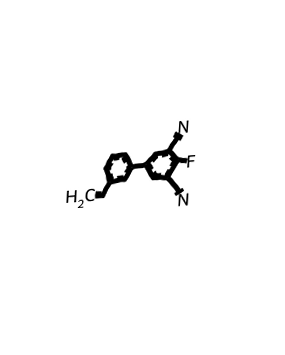 C=Cc1cccc(-c2cc(C#N)c(F)c(C#N)c2)c1